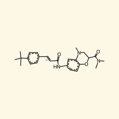 CN(C)C(=O)C1CN(C)c2cc(NC(=O)/C=C/c3ccc(C(C)(C)C)cc3)ccc2O1